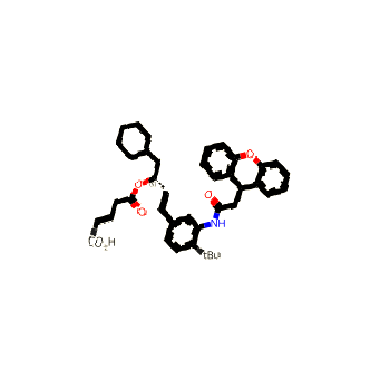 CC(C)(C)c1ccc(CC[C@@H](CC2CCCCC2)OC(=O)CCCC(=O)O)cc1NC(=O)CC1c2ccccc2Oc2ccccc21